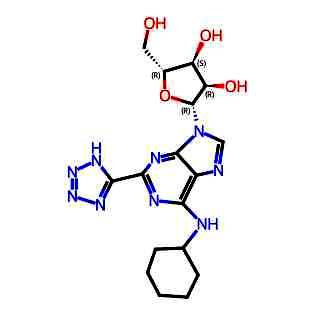 OC[C@H]1O[C@@H](n2cnc3c(NC4CCCCC4)nc(-c4nnn[nH]4)nc32)[C@H](O)[C@@H]1O